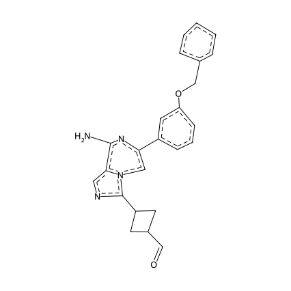 Nc1nc(-c2cccc(OCc3ccccc3)c2)cn2c(C3CC(C=O)C3)ncc12